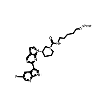 CCCCCOCCCCCNC(=O)N1CCC[C@H](n2ccc3cnc(-c4c[nH]c5ncc(F)cc45)nc32)C1